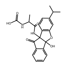 CC(NC(=O)O)C(=O)NC12C(=O)c3ccccc3C1(O)Oc1cc(C(C)C)ccc12